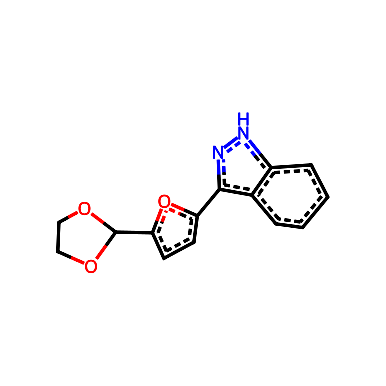 c1ccc2c(-c3ccc(C4OCCO4)o3)n[nH]c2c1